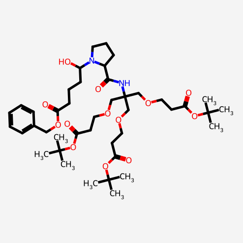 CC(C)(C)OC(=O)CCOCC(COCCC(=O)OC(C)(C)C)(COCCC(=O)OC(C)(C)C)NC(=O)C1CCCN1C(O)CCCC(=O)OCc1ccccc1